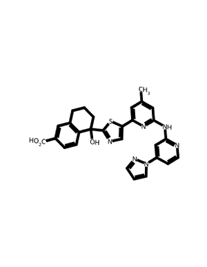 Cc1cc(Nc2cc(-n3cccn3)ccn2)nc(-c2cnc(C3(O)CCCc4cc(C(=O)O)ccc43)s2)c1